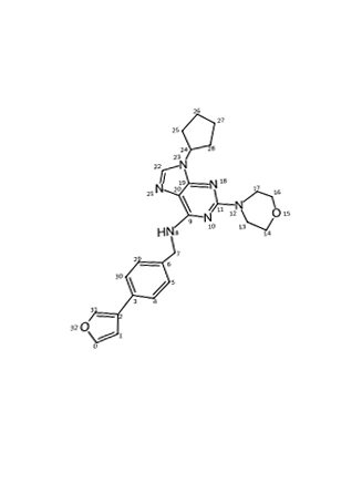 c1cc(-c2ccc(CNc3nc(N4CCOCC4)nc4c3ncn4C3CCCC3)cc2)co1